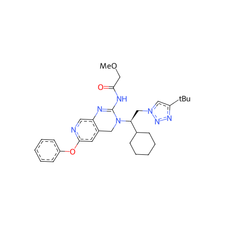 COCC(=O)NC1=Nc2cnc(Oc3ccccc3)cc2CN1[C@@H](Cn1cc(C(C)(C)C)nn1)C1CCCCC1